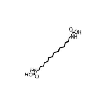 O=C(O)NCCCCCCCCCCCCCCNC(=O)O